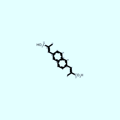 C/C(=C\c1ccc2cc(/C=C(\C)C(=O)O)ccc2c1)C(=O)O